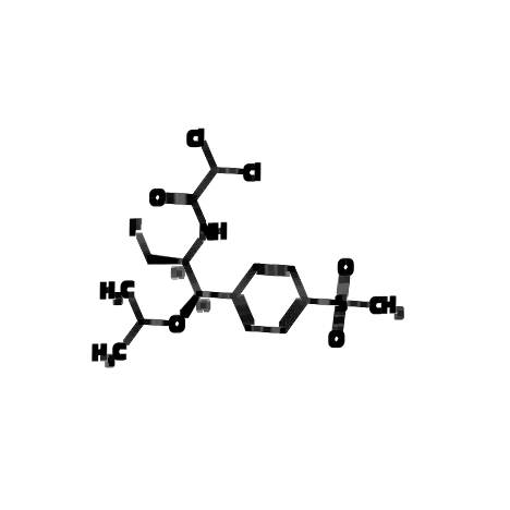 CC(C)O[C@H](c1ccc(S(C)(=O)=O)cc1)[C@@H](CF)NC(=O)C(Cl)Cl